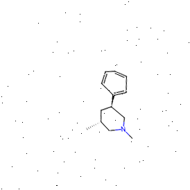 C[C@@H]1C[C@@H](c2ccccc2)CN(C)C1